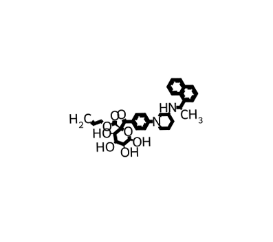 C=CCOC(=O)[C@@]1(C(=O)c2ccc(N3CCC[C@H](N[C@H](C)c4cccc5ccccc45)C3)cc2)O[C@@H](O)[C@H](O)[C@@H](O)[C@@H]1O